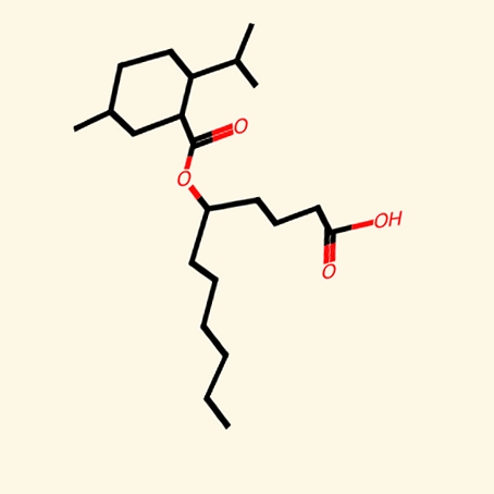 CCCCCCC(CCCC(=O)O)OC(=O)C1CC(C)CCC1C(C)C